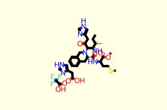 CC[C@H](C)[C@H](N)C(C(=O)Cc1c[nH]cn1)N1Cc2ccccc2C[C@H]1C(=O)NC(CCSC)C(=O)OC.O=C(O)C(F)(F)F.O=C(O)Cc1c[nH]cn1